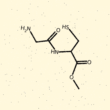 COC(=O)C(CS)NC(=O)CN